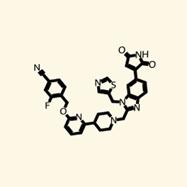 N#Cc1ccc(COc2cccc(C3CCN(Cc4nc5ccc(C6=CC(=O)NC6=O)cc5n4Cc4cncs4)CC3)n2)c(F)c1